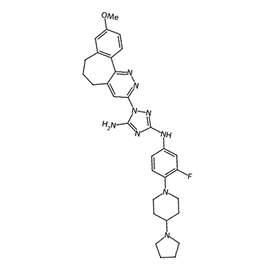 COc1ccc2c(c1)CCCc1cc(-n3nc(Nc4ccc(N5CCC(N6CCCC6)CC5)c(F)c4)nc3N)nnc1-2